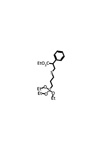 CCOC(=O)C(CSCCC[Si](OCC)(OCC)OCC)c1ccccc1